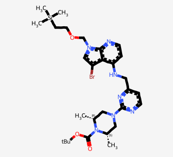 C[C@@H]1CN(c2nccc(CNc3ccnc4c3c(Br)cn4COCC[Si](C)(C)C)n2)C[C@H](C)N1C(=O)OC(C)(C)C